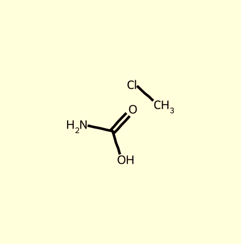 CCl.NC(=O)O